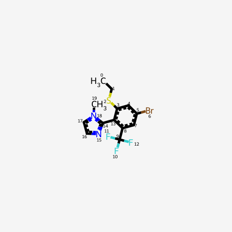 CCSc1cc(Br)cc(C(F)(F)F)c1-c1nccn1C